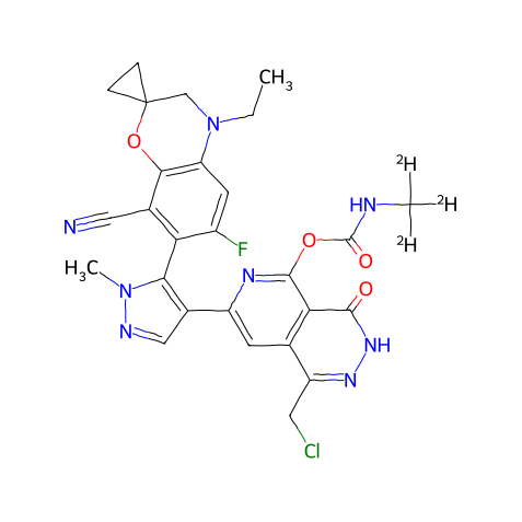 [2H]C([2H])([2H])NC(=O)Oc1nc(-c2cnn(C)c2-c2c(F)cc3c(c2C#N)OC2(CC2)CN3CC)cc2c(CCl)n[nH]c(=O)c12